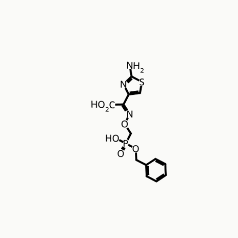 Nc1nc(/C(=N/OCP(=O)(O)OCc2ccccc2)C(=O)O)cs1